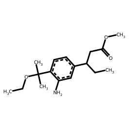 CCOC(C)(C)c1ccc(C(CC)CC(=O)OC)cc1N